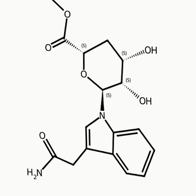 COC(=O)[C@@H]1C[C@H](O)[C@H](O)[C@@H](n2cc(CC(N)=O)c3ccccc32)O1